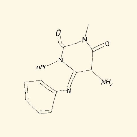 CCCN1C(=O)N(C)C(=O)C(N)C1=Nc1ccccc1